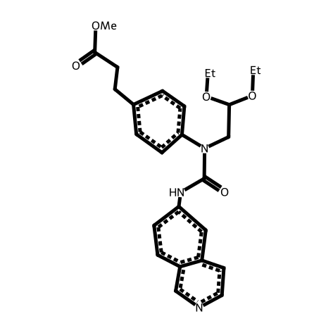 CCOC(CN(C(=O)Nc1ccc2cnccc2c1)c1ccc(CCC(=O)OC)cc1)OCC